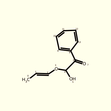 CC=COC(O)C(=O)c1ccccc1